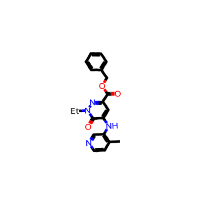 CCn1nc(C(=O)OCc2ccccc2)cc(Nc2cnccc2C)c1=O